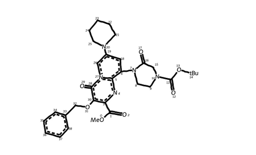 COC(=O)c1nc2c(N3CCN(C(=O)OC(C)(C)C)CC3=O)cc(N3CCCCC3)cn2c(=O)c1OCc1ccccc1